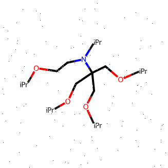 CC(C)OCCN(C(C)C)C(COC(C)C)(COC(C)C)COC(C)C